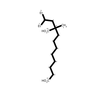 CCC(CC)CC(C)(CCCCCCCC(=O)O)C(=O)O